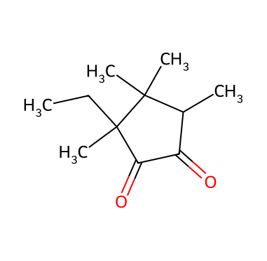 CCC1(C)C(=O)C(=O)C(C)C1(C)C